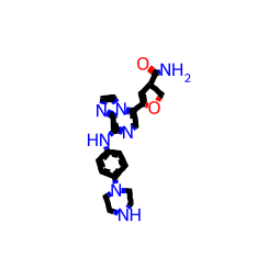 NC(=O)C1C=C(c2cnc(Nc3ccc(N4CCNCC4)cc3)c3nccn23)OC1